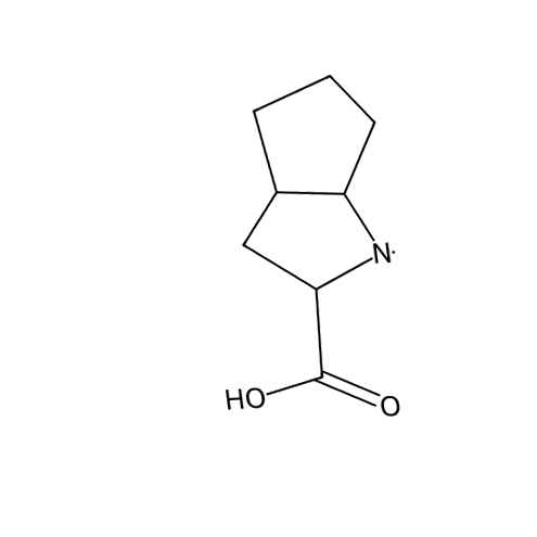 O=C(O)C1CC2CCCC2[N]1